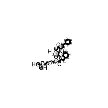 CC(NC(CCc1ccccc1)C(=O)O)C(=O)N1C(C(=O)OCCOCCON(O)O)CC2CCCCC21